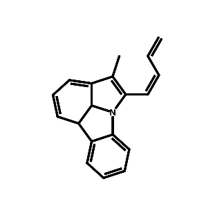 C=C/C=C\C1=C(C)C2=CC=CC3c4ccccc4N1C23